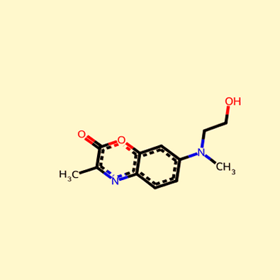 Cc1nc2ccc(N(C)CCO)cc2oc1=O